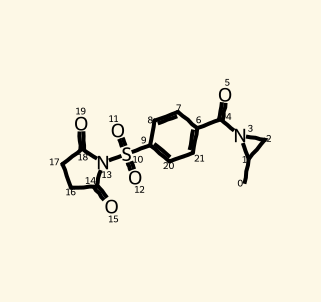 CC1CN1C(=O)c1ccc(S(=O)(=O)N2C(=O)CCC2=O)cc1